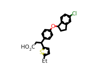 CCc1ccc(C(CC(=O)O)c2ccc(OC3CCc4cc(Cl)ccc43)cc2)s1